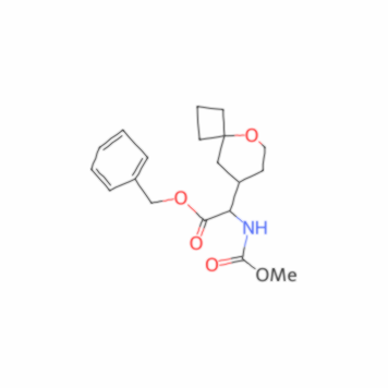 COC(=O)NC(C(=O)OCc1ccccc1)C1CCOC2(CCC2)C1